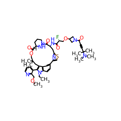 CCn1c(-c2cccnc2COC)c2c3cc(ccc31)-c1csc(n1)C[C@H](NC(=O)[C@H](F)COC1CN(C(=O)C#CC(C)(C)N(C)C)C1)C(=O)N1CCC[C@H](N1)C(=O)OCC(C)(C)C2